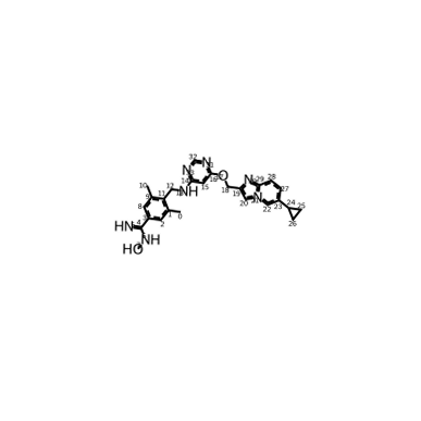 Cc1cc(C(=N)NO)cc(C)c1CNc1cc(OCc2cn3cc(C4CC4)ccc3n2)ncn1